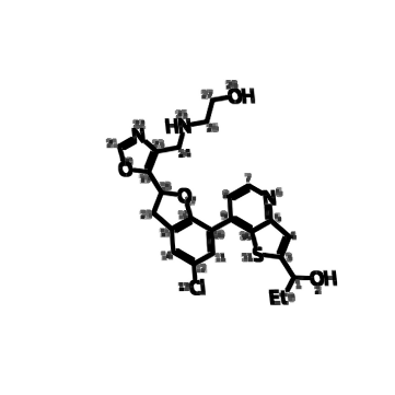 CCC(O)c1cc2nccc(-c3cc(Cl)cc4c3OC(c3ocnc3CNCCO)C4)c2s1